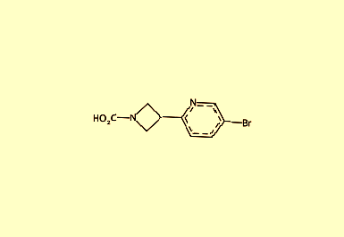 O=C(O)N1CC(c2ccc(Br)cn2)C1